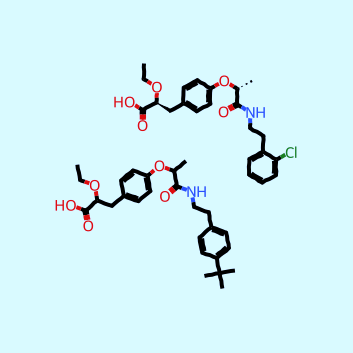 CCOC(Cc1ccc(OC(C)C(=O)NCCc2ccc(C(C)(C)C)cc2)cc1)C(=O)O.CCO[C@@H](Cc1ccc(O[C@H](C)C(=O)NCCc2ccccc2Cl)cc1)C(=O)O